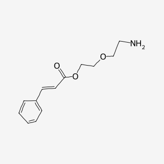 NCCOCCOC(=O)C=Cc1ccccc1